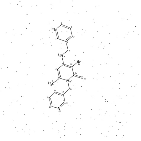 Cc1cc(NCc2cccnc2)c(Br)c(=O)n1Cc1cccnc1